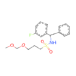 COCOCCCS(=O)(=O)NC(c1ccccc1)c1cccc(F)c1